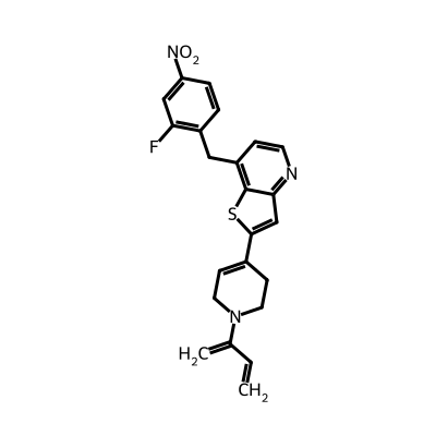 C=CC(=C)N1CC=C(c2cc3nccc(Cc4ccc([N+](=O)[O-])cc4F)c3s2)CC1